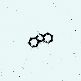 c1cnc2c(c1)oc1ccncc12